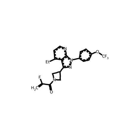 C=C(F)C(=O)N1CC(c2nn(-c3ccc(OC(F)(F)F)cc3)c3nccc(CC)c23)C1